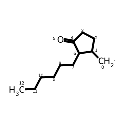 [CH2]C1CCC(=O)C1CCCCCC